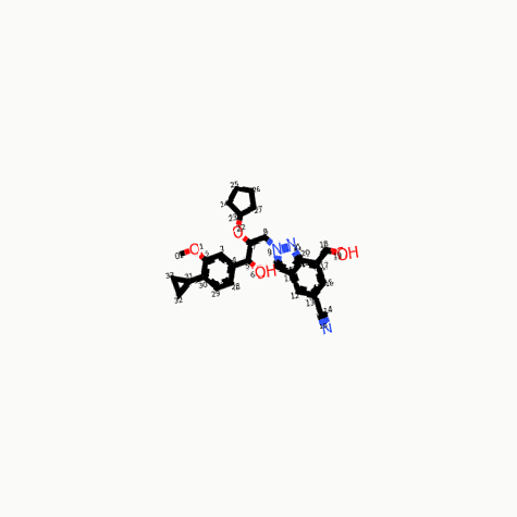 COc1cc(C(O)C(Cn2cc3cc(C#N)cc(CO)c3n2)OC2CCCC2)ccc1C1CC1